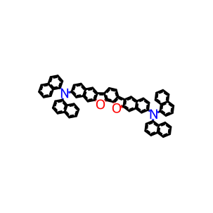 c1ccc2c(N(c3ccc4cc5c(cc4c3)oc3c5ccc4c5cc6ccc(N(c7cccc8ccccc78)c7cccc8ccccc78)cc6cc5oc43)c3cccc4ccccc34)cccc2c1